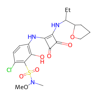 CCC(Nc1c(Nc2ccc(Cl)c(S(=O)(=O)N(C)OC)c2O)c(=O)c1=O)C1CCCO1